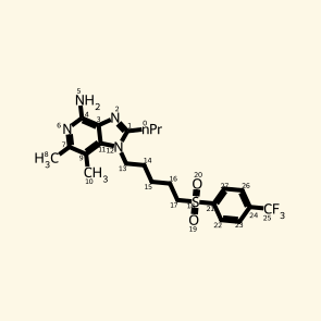 CCCc1nc2c(N)nc(C)c(C)c2n1CCCCCS(=O)(=O)c1ccc(C(F)(F)F)cc1